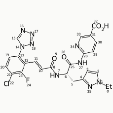 CCn1ccc(C[C@H](NC(=O)/C=C/c2c(-n3cnnn3)ccc(Cl)c2F)C(=O)Nc2ccc(C(=O)O)cn2)n1